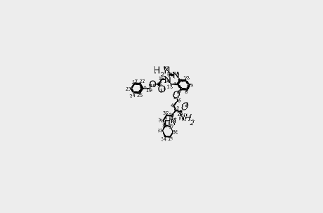 NC(=O)C(CCOc1cccc2c1CN(CC(=O)OCc1ccccc1)C(N)=N2)C1CCC2CCCCC2N1